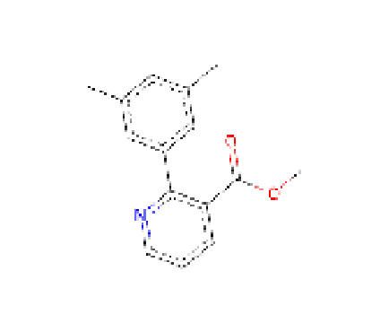 COC(=O)c1cccnc1-c1cc(C)cc(C)c1